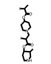 CC(I)C(=O)OC1CCN(CC(I)C(=O)OC2CCNCC2C)CC1